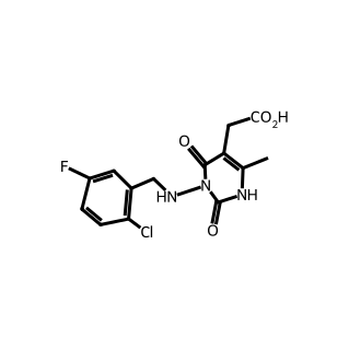 Cc1[nH]c(=O)n(NCc2cc(F)ccc2Cl)c(=O)c1CC(=O)O